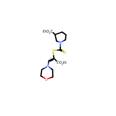 CCOC(=O)/C(=C\N1CCOCC1)SC(=S)N1CCCC(C(=O)OCC)C1